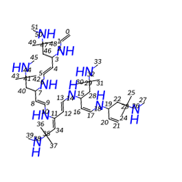 C=CNC(C=CNC(C=CN/C(C=CNC(C=CNC(C=C)CC(C)(C)NC)CC(C)(C)NC)=C\C(C)(C)NC)CC(C)(C)NC)CC(C)(C)NC